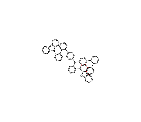 C1=CC2c3ccccc3-c3cc(N(c4ccc(-c5ccccc5-c5ccccc5-n5c6ccccc6c6ccccc65)cc4)c4ccccc4-c4cccc5c4oc4ccccc45)ccc3C2C=C1